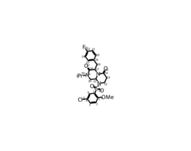 COc1ccc(Cl)cc1S(=O)(=O)N1CCC(=O)N2C(Cc3ccc(F)cc3)C(=O)N(C(C)C)CC21